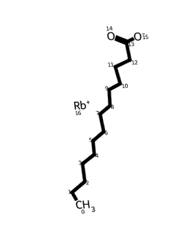 CCCCCCCCCCCCCC(=O)[O-].[Rb+]